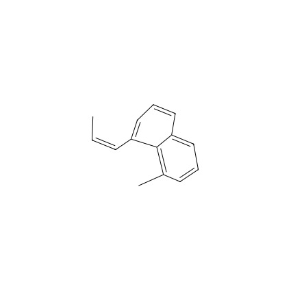 C/C=C\c1cccc2cccc(C)c12